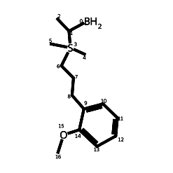 BC(C)S(C)(C)CCCc1ccccc1OC